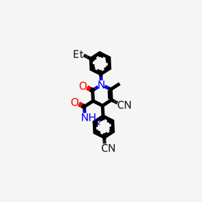 CCc1cccc(N2C(=O)C(C(N)=O)C(c3ccc(C#N)cc3)C(C#N)=C2C)c1